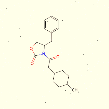 CC1CCC(CC(=O)N2C(=O)OCC2Cc2ccccc2)CC1